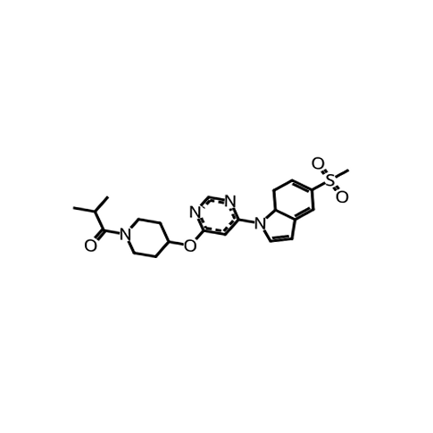 CC(C)C(=O)N1CCC(Oc2cc(N3C=CC4=CC(S(C)(=O)=O)=CCC43)ncn2)CC1